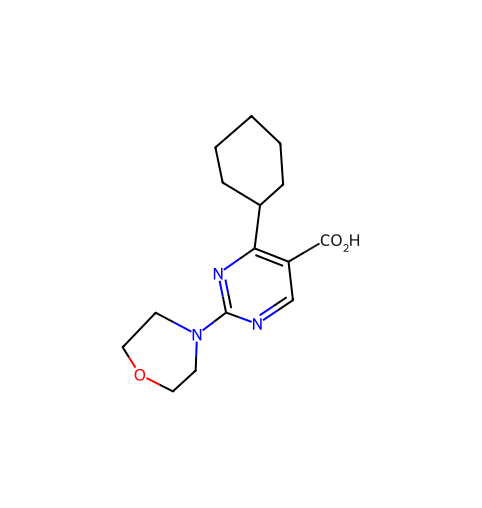 O=C(O)c1cnc(N2CCOCC2)nc1C1CCCCC1